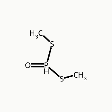 CS[PH](=O)SC